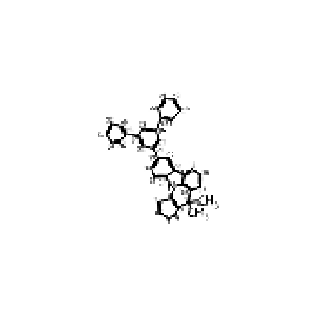 CC1(C)C2=C(C=CCC2)n2c3ccc(-c4cc(-c5ccccc5)cc(-c5ccccc5)c4)cc3c3cccc1c32